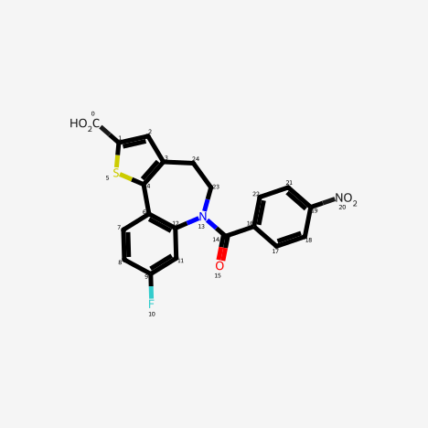 O=C(O)c1cc2c(s1)-c1ccc(F)cc1N(C(=O)c1ccc([N+](=O)[O-])cc1)CC2